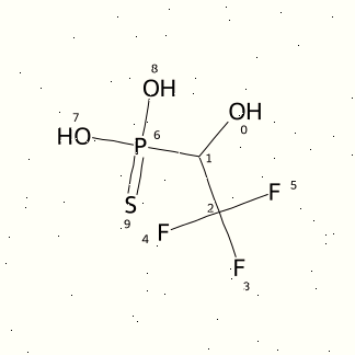 OC(C(F)(F)F)P(O)(O)=S